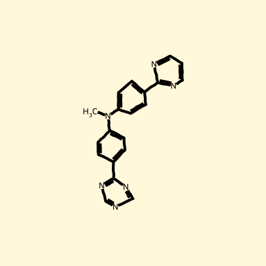 CN(c1ccc(-c2ncccn2)cc1)c1ccc(-c2ncncn2)cc1